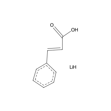 O=C(O)/C=C/c1ccccc1.[LiH]